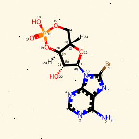 Nc1ncnc2c1nc(Br)n2[C@@H]1O[C@H]2COP(=O)(O)O[C@@H]2[C@H]1O